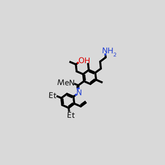 C=Cc1c(CC)cc(CC)cc1/N=C(\NC)c1cc(C)c(CCCN)c(C)c1CC(C)O